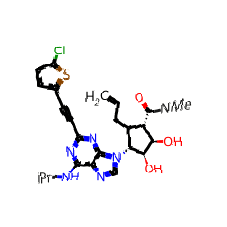 C=CCC1[C@@H](n2cnc3c(NC(C)C)nc(C#Cc4ccc(Cl)s4)nc32)[C@H](O)[C@H](O)[C@H]1C(=O)NC